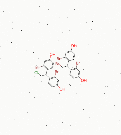 Oc1ccc(C(CBr)c2ccc(O)cc2Br)c(Br)c1.Oc1ccc(C(CCl)c2ccc(O)cc2Br)c(Br)c1